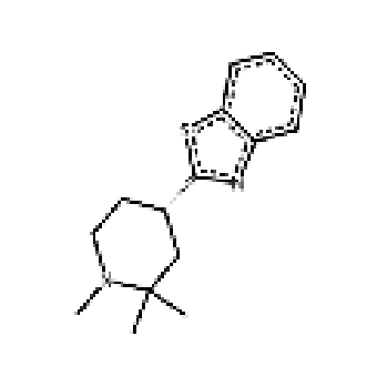 CN1CC[C@H](c2nc3ccccc3s2)CC1(C)C